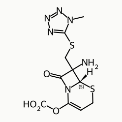 Cn1nnnc1SCC1(N)C(=O)N2C(OC(=O)O)=CCS[C@H]21